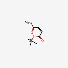 COC(=O)/C=C\C(=O)O[Si](C)(C)C